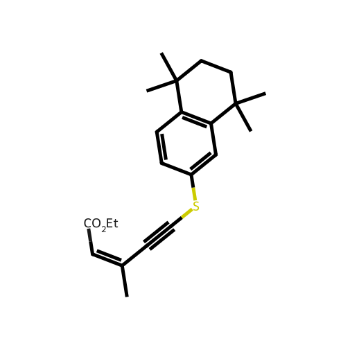 CCOC(=O)C=C(C)C#CSc1ccc2c(c1)C(C)(C)CCC2(C)C